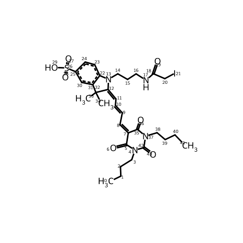 CCCCN1C(=O)C(=C/C=C/C=C2/N(CCCNC(=O)CI)c3ccc(S(=O)(=O)O)cc3C2(C)C)C(=O)N(CCCC)C1=O